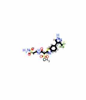 CS(=O)(=O)C(C(=O)NCCS(N)(=O)=O)c1nc2ccc(-c3c[nH]nc3C(F)(F)F)cc2s1